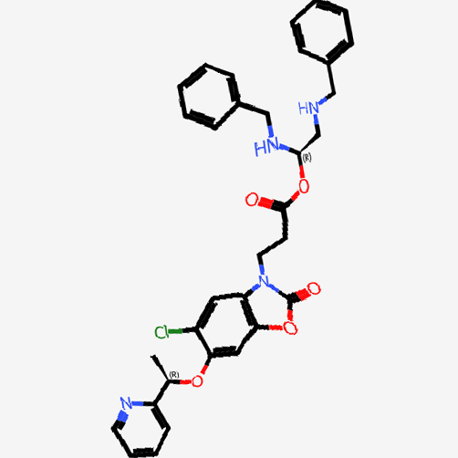 C[C@@H](Oc1cc2oc(=O)n(CCC(=O)O[C@H](CNCc3ccccc3)NCc3ccccc3)c2cc1Cl)c1ccccn1